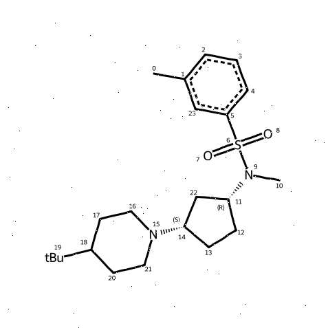 Cc1cccc(S(=O)(=O)N(C)[C@@H]2CC[C@H](N3CCC(C(C)(C)C)CC3)C2)c1